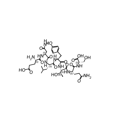 CC(C)C[C@H](NC(=O)[C@H](CC(N)=O)NC(=O)[C@@H](N)CCC(=O)O)C(=O)N[C@@H](Cc1ccc(O)cc1)C(=O)N[C@H](C(=O)N[C@@H](CCC(N)=O)C(=O)N[C@@H](CO)C(=O)O)[C@@H](C)O